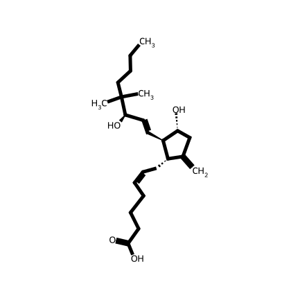 C=C1C[C@@H](O)[C@H](/C=C/[C@@H](O)C(C)(C)CCCC)[C@H]1C/C=C\CCCC(=O)O